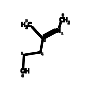 C/N=C(\C)CCO